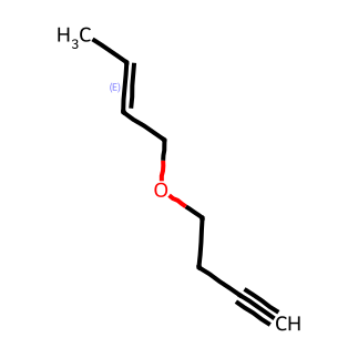 C#CCCOC/C=C/C